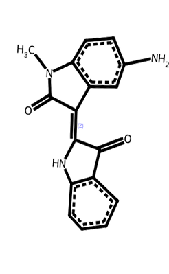 CN1C(=O)/C(=C2\Nc3ccccc3C2=O)c2cc(N)ccc21